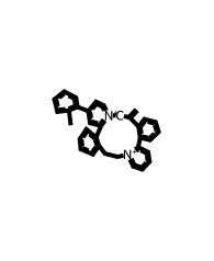 C=C1C[n+]2ccc(-c3ccccc3C)cc2-c2ccccc2CC[n+]2ccccc2-c2ccccc21